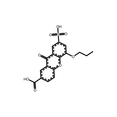 CCCOc1cc(S(=O)(=O)O)cc2c(=O)c3cc(C(=O)O)ccc3oc12